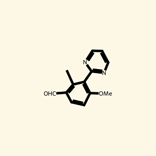 COc1ccc(C=O)c(C)c1-c1ncccn1